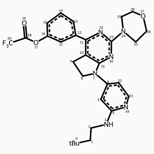 CC(C)(C)CCNc1cc(N2CCc3c(-c4cccc(OC(=O)C(F)(F)F)c4)nc(N4CCOCC4)nc32)ccn1